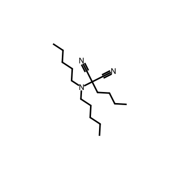 CCCCCN(CCCCC)C(C#N)(C#N)CCCC